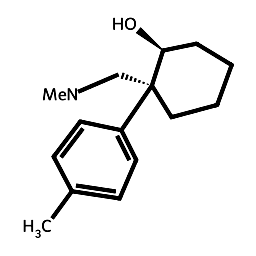 CNC[C@@]1(c2ccc(C)cc2)CCCC[C@@H]1O